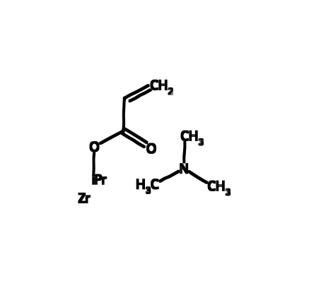 C=CC(=O)OC(C)C.CN(C)C.[Zr]